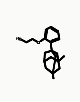 CC12CC3CC(C)(C1)CC(c1ccccc1OCCO)(C3)C2